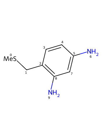 CSCc1ccc(N)cc1N